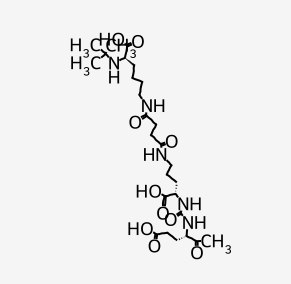 CC(=O)[C@H](CCC(=O)O)NC(=O)N[C@@H](CCCNC(=O)CCC(=O)NCCCC[C@@H](NC(C)(C)C)C(=O)O)C(=O)O